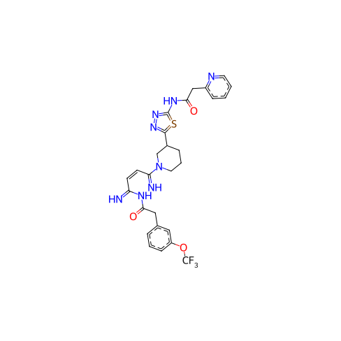 N=C(/C=C\C(=N)N1CCCC(c2nnc(NC(=O)Cc3ccccn3)s2)C1)NC(=O)Cc1cccc(OC(F)(F)F)c1